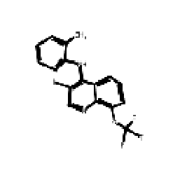 Cc1ccccc1Nc1c(I)cnc2c(OC(F)(F)F)cccc12